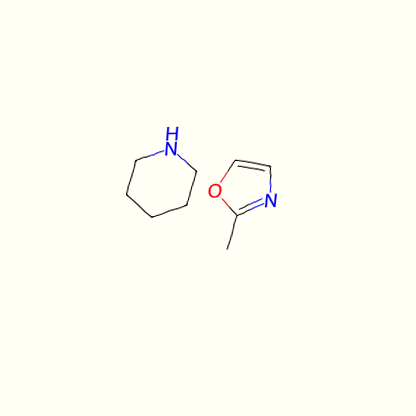 C1CCNCC1.Cc1ncco1